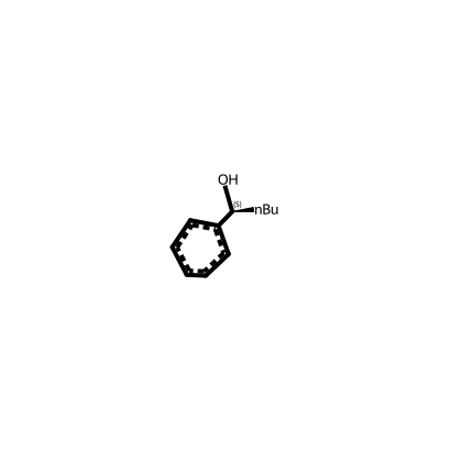 CCCC[C@H](O)c1ccccc1